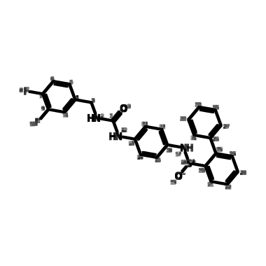 O=C(NCc1ccc(F)c(F)c1)Nc1ccc(N[S+]([O-])c2ccccc2-c2ccccc2)cc1